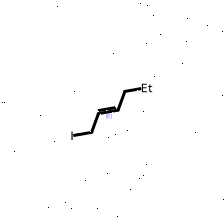 CCC/C=C/CI